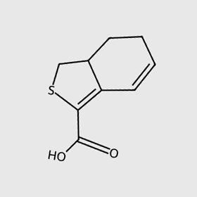 O=C(O)C1=C2C=CCCC2CS1